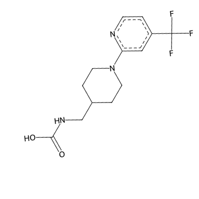 O=C(O)NCC1CCN(c2cc(C(F)(F)F)ccn2)CC1